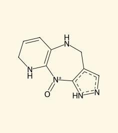 O=[N+]1C2=C(C=CCN2)NCc2cn[nH]c21